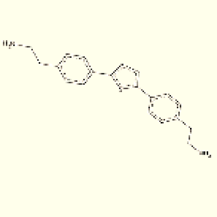 NCCc1ccc(-c2ccc(-c3ccc(CCN)cc3)s2)cc1